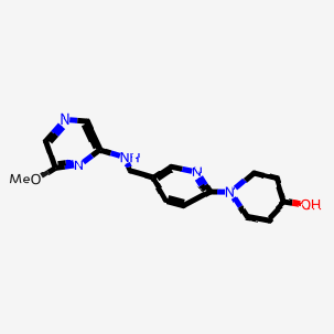 COc1cncc(NCc2ccc(N3CCC(O)CC3)nc2)n1